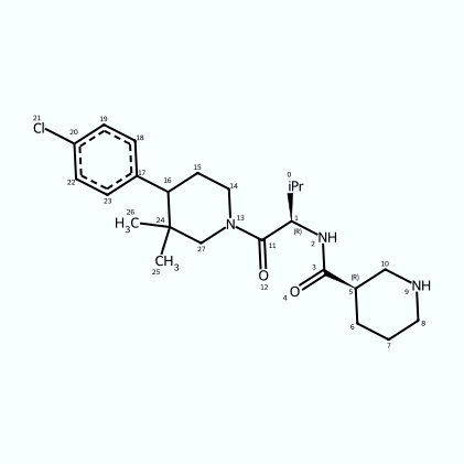 CC(C)[C@@H](NC(=O)[C@@H]1CCCNC1)C(=O)N1CCC(c2ccc(Cl)cc2)C(C)(C)C1